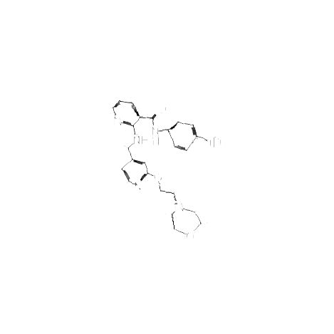 CC(C)(C)c1ccc(NC(=O)c2cccnc2NCc2ccnc(OCCN3CCOCC3)c2)cc1